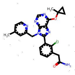 Cc1ccnc(Cn2c(-c3cccc(CC(N)=O)c3Cl)nc3c(OC4(C)CC4)ncnc32)c1